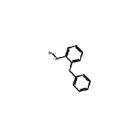 BrNc1ccccc1Cc1ccccc1